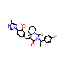 COc1cc(/C=C2/C(=O)N(C(C)c3ccc(F)cc3)C(=S)N3CCCCC23C)ccc1-n1cnc(C)c1